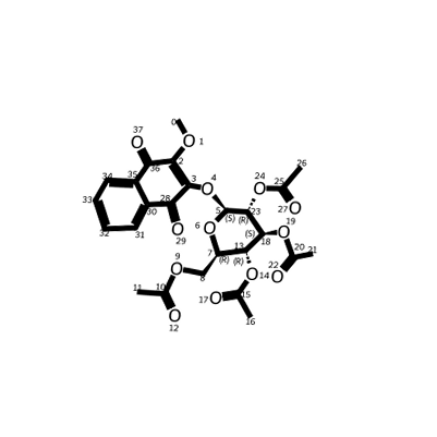 COC1=C(O[C@@H]2O[C@H](COC(C)=O)[C@@H](OC(C)=O)[C@H](OC(C)=O)[C@H]2OC(C)=O)C(=O)c2ccccc2C1=O